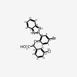 O=C(O)C(Oc1ccc(Br)cc1-n1nc2ccccc2n1)c1cccc(Cl)c1